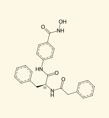 O=C(Cc1ccccc1)N[C@@H](Cc1ccccc1)C(=O)Nc1ccc(C(=O)NO)cc1